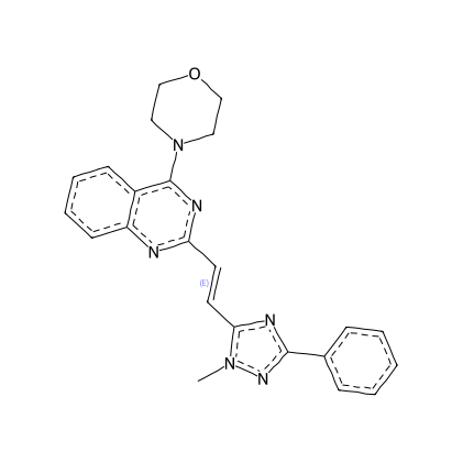 Cn1nc(-c2ccccc2)nc1/C=C/c1nc(N2CCOCC2)c2ccccc2n1